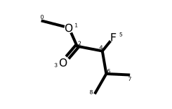 COC(=O)C(F)C(C)C